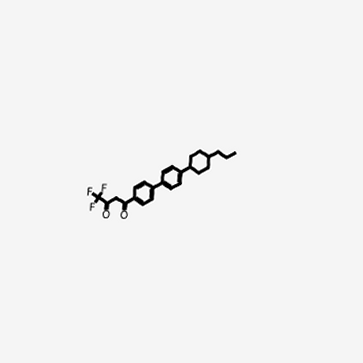 CCCC1CCC(c2ccc(-c3ccc(C(=O)CC(=O)C(F)(F)F)cc3)cc2)CC1